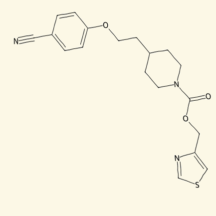 N#Cc1ccc(OCCC2CCN(C(=O)OCc3cscn3)CC2)cc1